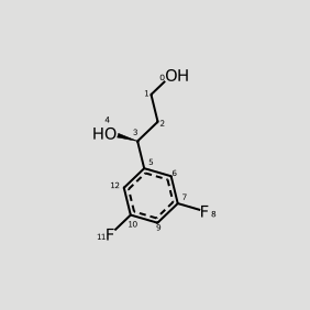 OCC[C@H](O)c1cc(F)cc(F)c1